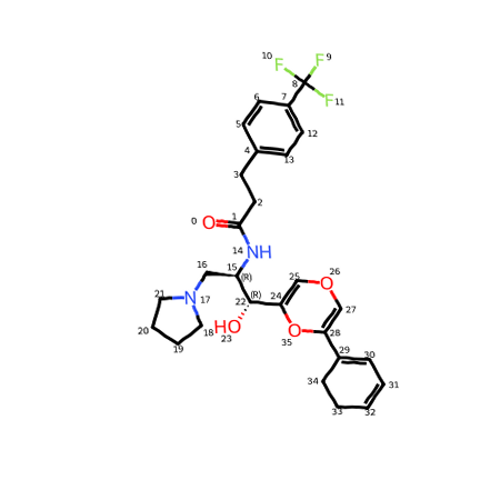 O=C(CCc1ccc(C(F)(F)F)cc1)N[C@H](CN1CCCC1)[C@@H](O)C1=COC=C(C2=CC=CCC2)O1